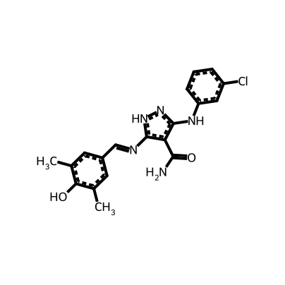 Cc1cc(C=Nc2[nH]nc(Nc3cccc(Cl)c3)c2C(N)=O)cc(C)c1O